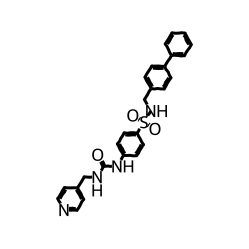 O=C(NCc1ccncc1)Nc1ccc(S(=O)(=O)NCc2ccc(-c3ccccc3)cc2)cc1